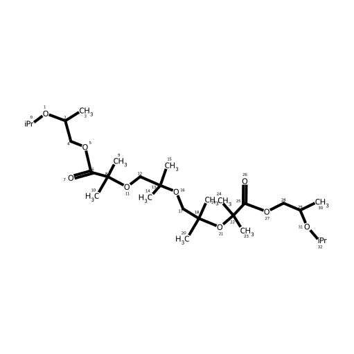 CC(C)OC(C)COC(=O)C(C)(C)OCC(C)(C)OCC(C)(C)OC(C)(C)C(=O)OCC(C)OC(C)C